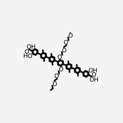 CCCOCCOCCOc1cc(-c2cc(C)c(-c3cc(C)c(-c4ccc(C(=O)O)c(O)c4)cc3C)cc2C)c(OCCOCCOCCOC)cc1-c1cc(C)c(-c2cc(C)c(-c3ccc(C(=O)O)c(O)c3)cc2C)cc1C